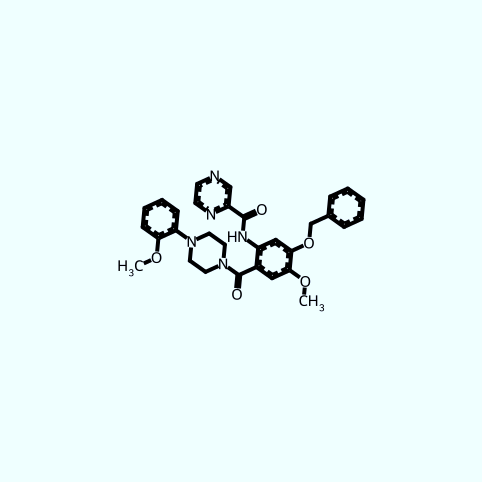 COc1cc(C(=O)N2CCN(c3ccccc3OC)CC2)c(NC(=O)c2cnccn2)cc1OCc1ccccc1